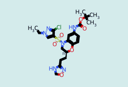 CCn1cc(S(=O)(=O)N2C[C@H](CCC3=NOCN3)Oc3ccc(NC(=O)OC(C)(C)C)cc32)c(Cl)n1